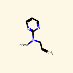 C=CCN(CCCCC)c1ncccn1